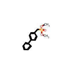 COP(=O)(Cc1ccc(-c2ccccc2)cc1)OC